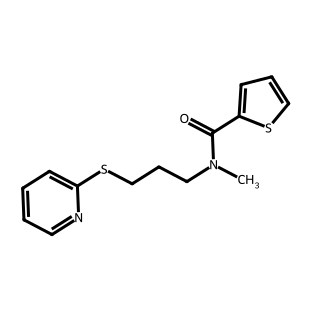 CN(CCCSc1ccccn1)C(=O)c1cccs1